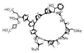 CNC(=O)C[C@@H]1NC(=O)c2csc(n2)-c2ccc(-c3nc(N(CCC(=O)O)C(O)O[C@H]4C[C@H](C(=O)O)C4)cs3)nc2-c2csc(n2)-c2csc(n2)[C@H]([C@@H](O)c2ccccc2)NC(=O)CNC(=O)c2nc(sc2COC)C(C(C)C)NC(=O)c2nc1sc2C